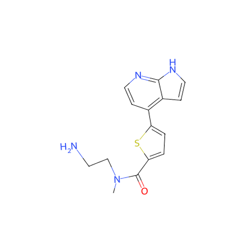 CN(CCN)C(=O)c1ccc(-c2ccnc3[nH]ccc23)s1